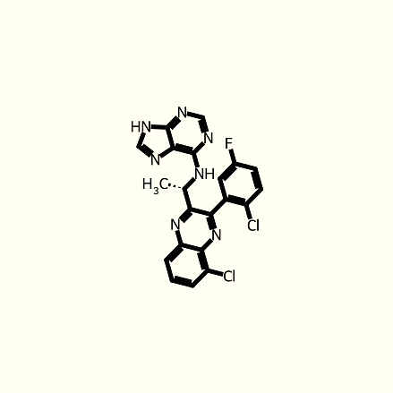 C[C@H](Nc1ncnc2[nH]cnc12)c1nc2cccc(Cl)c2nc1-c1cc(F)ccc1Cl